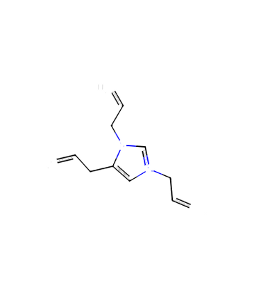 C=CCc1c[n+](CC=C)cn1CC=C